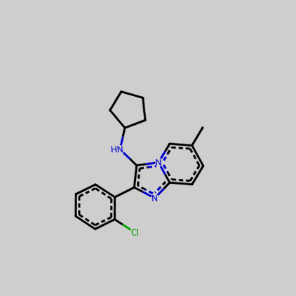 Cc1ccc2nc(-c3ccccc3Cl)c(NC3CCCC3)n2c1